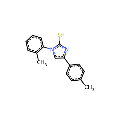 Cc1ccc(-c2cn(-c3ccccc3C)c(S)n2)cc1